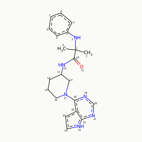 CC(C)(Nc1ccccc1)C(=O)NC1CCCN(c2ncnc3[nH]ccc23)C1